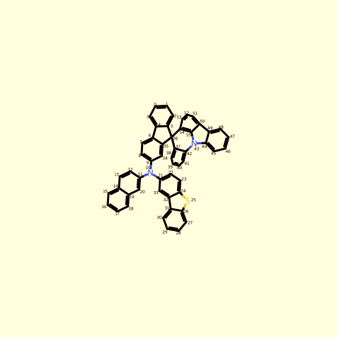 c1ccc2c(c1)-c1ccc(N(c3ccc4ccccc4c3)c3ccc4sc5ccccc5c4c3)cc1C21c2ccccc2-n2c3ccccc3c3cccc1c32